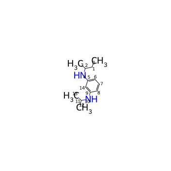 CCC(C)Nc1cccc(NC(C)C)c1